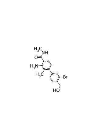 CNC(=O)c1ccc(-c2ccc(CO)c(Br)c2)c(C)c1N